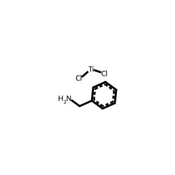 NCc1ccccc1.[Cl][Ti][Cl]